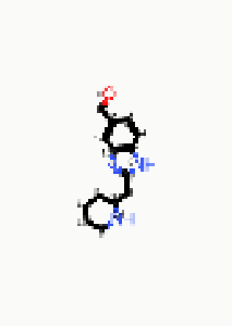 O=Cc1ccc2[nH]c(CC3CCCCN3)nc2c1